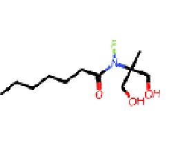 CCCCCCC(=O)N(F)C(C)(CO)CO